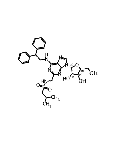 CC(C)CS(=O)(=O)NCc1nc(NCC(c2ccccc2)c2ccccc2)c2ncn([C@@H]3O[C@H](CO)[C@@H](O)[C@H]3O)c2n1